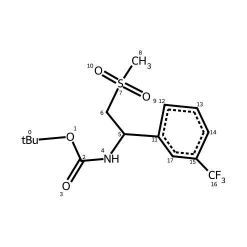 CC(C)(C)OC(=O)NC(CS(C)(=O)=O)c1cccc(C(F)(F)F)c1